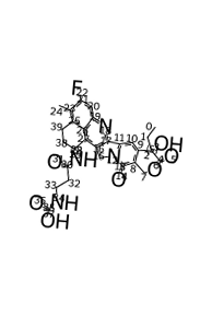 CC[C@@]1(O)C(=O)OCc2c1cc1n(c2=O)Cc2c-1nc1cc(F)c(C)c3c1c2[C@@H](NC(=O)CCNC(=O)O)CC3